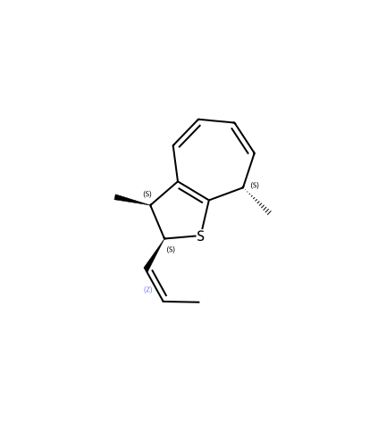 C/C=C\[C@@H]1SC2=C(C=CC=C[C@@H]2C)[C@@H]1C